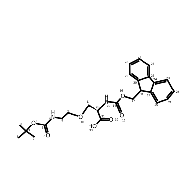 CC(C)(C)OC(=O)NCCOC[C@@H](NC(=O)OCC1c2ccccc2-c2ccccc21)C(=O)O